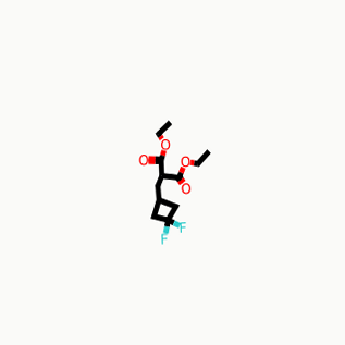 CCOC(=O)C(CC1CC(F)(F)C1)C(=O)OCC